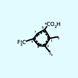 Cc1c(I)cc(C(F)(F)F)cc1C(=O)O